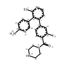 CCc1nccc(-c2ccc(C(=O)N3CCNCC3)c(F)c2)c1-c1ccc(N)nc1